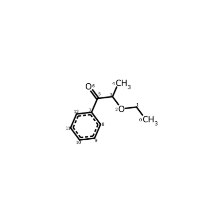 CCOC(C)C(=O)c1ccccc1